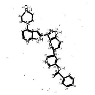 CN1CCN(c2ccnc3[nH]c(-c4n[nH]c5ccc(-c6cncc(NC(=O)c7ccccc7)c6)nc45)cc23)CC1